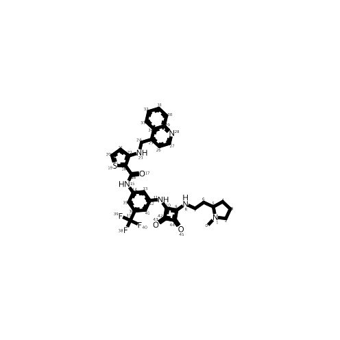 CN1CCCC1CCNc1c(Nc2cc(NC(=O)c3sccc3NCc3ccnc4ccccc34)cc(C(F)(F)F)c2)c(=O)c1=O